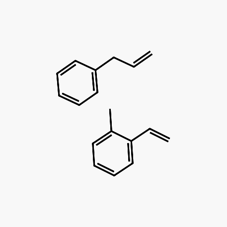 C=CCc1ccccc1.C=Cc1ccccc1C